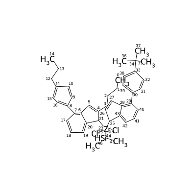 CCCCC1=Cc2c(-c3ccc(CCC)cc3)cccc2[CH]1[Zr]([Cl])([Cl])([CH]1C=Cc2c(-c3ccc(C(C)(C)C)cc3)cccc21)[SiH](C)C